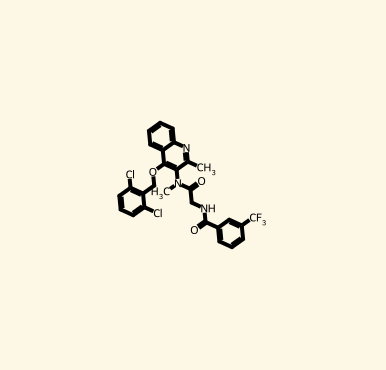 Cc1nc2ccccc2c(OCc2c(Cl)cccc2Cl)c1N(C)C(=O)CNC(=O)c1cccc(C(F)(F)F)c1